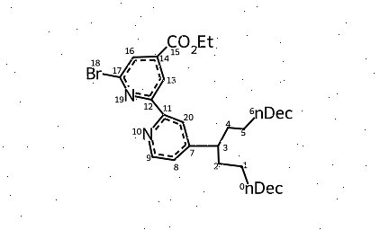 CCCCCCCCCCCCC(CCCCCCCCCCCC)c1ccnc(-c2cc(C(=O)OCC)cc(Br)n2)c1